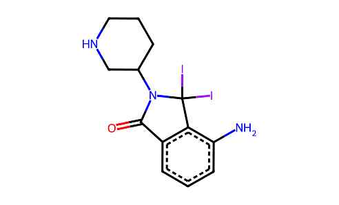 Nc1cccc2c1C(I)(I)N(C1CCCNC1)C2=O